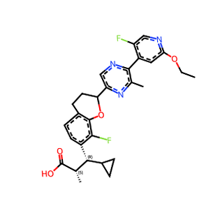 CCOc1cc(-c2ncc(C3CCc4ccc([C@H](C5CC5)[C@H](C)C(=O)O)c(F)c4O3)nc2C)c(F)cn1